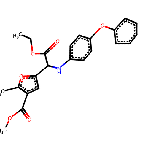 CCOC(=O)C(Nc1ccc(Oc2ccccc2)cc1)c1cc(C(=O)OC)c(C)o1